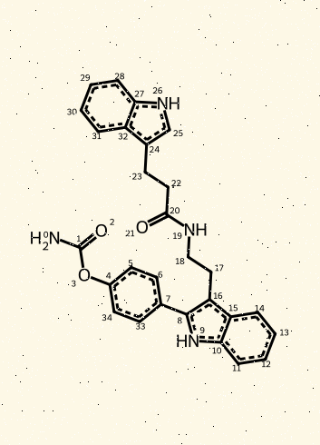 NC(=O)Oc1ccc(-c2[nH]c3ccccc3c2CCNC(=O)[CH]Cc2c[nH]c3ccccc23)cc1